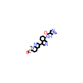 CN1C(=C=O)CCc2cc(-c3cncc4c3CCCC4NC(=O)c3cnn(C)c3)cnc21